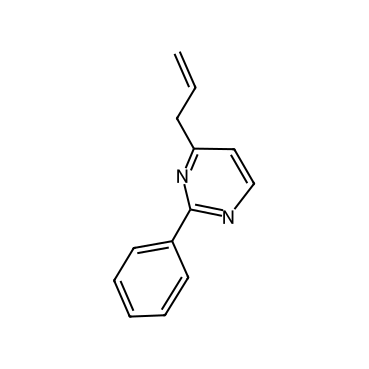 C=CCc1ccnc(-c2ccccc2)n1